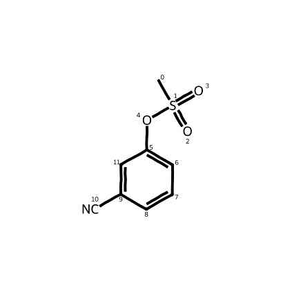 CS(=O)(=O)Oc1cccc(C#N)c1